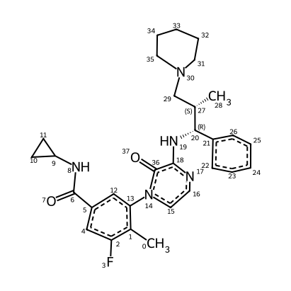 Cc1c(F)cc(C(=O)NC2CC2)cc1-n1ccnc(N[C@@H](c2ccccc2)[C@@H](C)CN2CCCCC2)c1=O